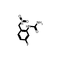 NC(=O)Nc1cc(F)ccc1C[SH](=O)=O